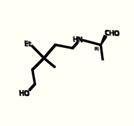 CCC(C)(CCO)CCN[C@H](C)C=O